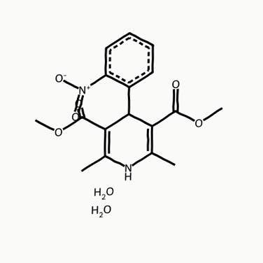 COC(=O)C1=C(C)NC(C)=C(C(=O)OC)C1c1ccccc1[N+](=O)[O-].O.O